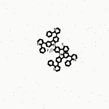 Fc1cccc(F)c1-c1cc(-n2c3ccc(-c4cccnc4-c4ccccc4)cc3c3cc(-c4cccnc4-c4ccccc4)ccc32)c(C(F)(F)F)cc1-n1c2ccc(-c3cccnc3-c3ccccc3)cc2c2cc(-c3cccnc3-c3ccccc3)ccc21